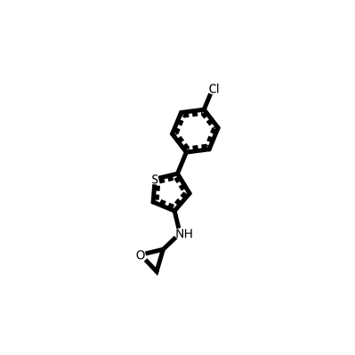 Clc1ccc(-c2cc(NC3CO3)cs2)cc1